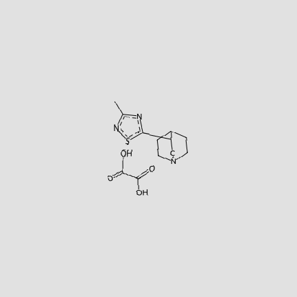 Cc1nsc(C2CN3CCC2CC3)n1.O=C(O)C(=O)O